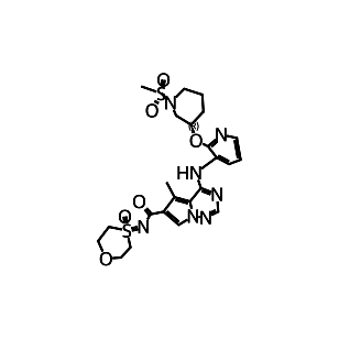 Cc1c(C(=O)N=S2(=O)CCOCC2)cn2ncnc(Nc3cccnc3O[C@@H]3CCCN(S(C)(=O)=O)C3)c12